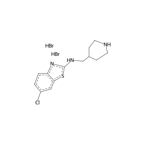 Br.Br.Clc1ccc2nc(NCC3CCNCC3)sc2c1